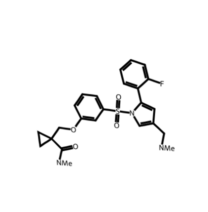 CNCc1cc(-c2ccccc2F)n(S(=O)(=O)c2cccc(OCC3(C(=O)NC)CC3)c2)c1